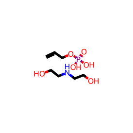 C=CCOP(=O)(O)O.OCCNCCO